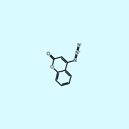 [N-]=[N+]=Nc1cc(=O)oc2ccccc12